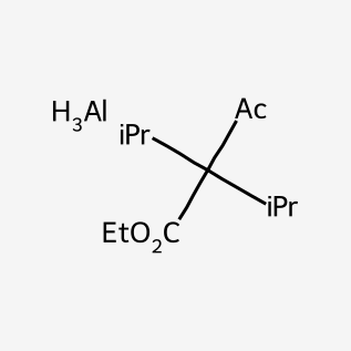 CCOC(=O)C(C(C)=O)(C(C)C)C(C)C.[AlH3]